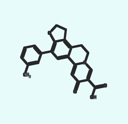 Cc1cccc(-c2cc3c(c4c2OCC4)CCn2cc(C(=O)O)c(=O)cc2-3)c1